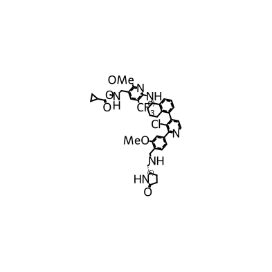 COc1cc(-c2nccc(-c3cccc4c3CCC[C@H]4Nc3nc(OC)c(CNOC(=O)C4CC4)cc3C(F)(F)F)c2Cl)ccc1CNC[C@@H]1CCC(=O)N1